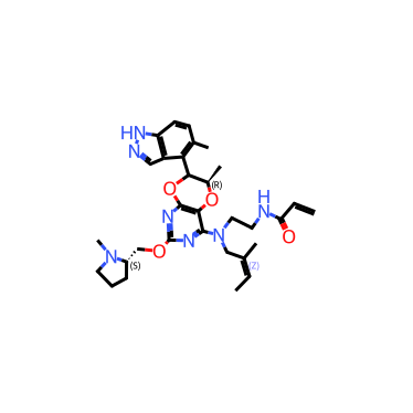 C=CC(=O)NCCN(C/C(C)=C\C)c1nc(OC[C@@H]2CCCN2C)nc2c1O[C@H](C)C(c1c(C)ccc3[nH]ncc13)O2